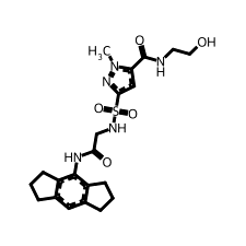 Cn1nc(S(=O)(=O)NCC(=O)Nc2c3c(cc4c2CCC4)CCC3)cc1C(=O)NCCO